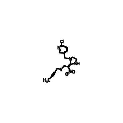 CC#CCSCC(=C1NCCN1Cc1ccc(Cl)nc1)[N+](=O)[O-]